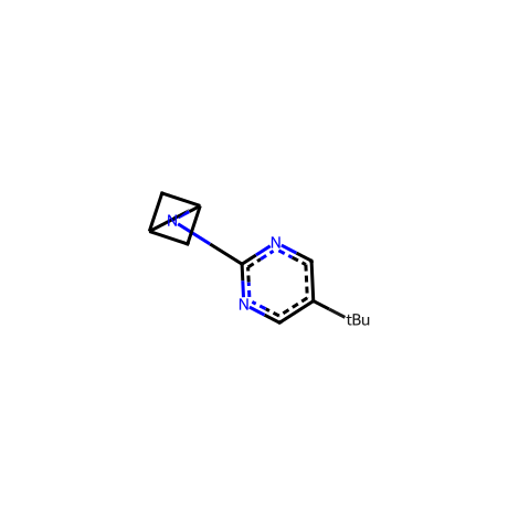 CC(C)(C)c1cnc(N2CC3CC2C3)nc1